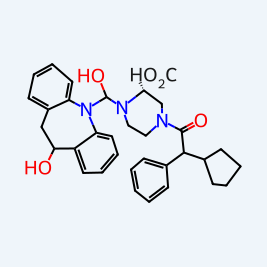 O=C(O)[C@@H]1CN(C(=O)C(c2ccccc2)C2CCCC2)CCN1C(O)N1c2ccccc2CC(O)c2ccccc21